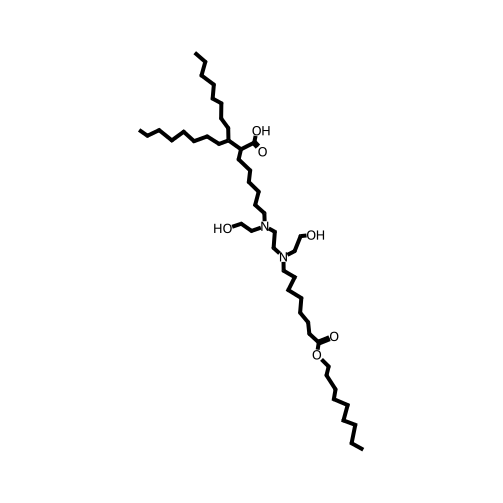 CCCCCCCCCOC(=O)CCCCCCCN(CCO)CCN(CCO)CCCCCCC(C(=O)O)C(CCCCCCCC)CCCCCCCC